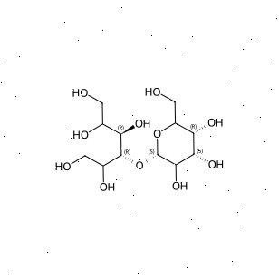 OCC(O)[C@@H](O)[C@H](O[C@@H]1OC(CO)[C@H](O)[C@H](O)C1O)C(O)CO